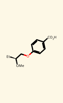 CC[C@@H](COc1ccc(C(=O)O)cc1)OC